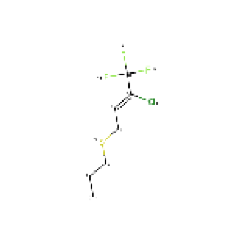 [CH2]CCSCC=C(Cl)C(F)(F)F